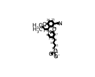 CC1(C)C=C(n2ccc(CCCCO[N+](=O)[O-])cc2=O)c2cc(C#N)ccc2O1